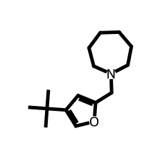 CC(C)(C)c1coc(CN2CCCCCC2)c1